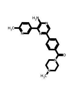 Cc1ccc(-c2nc(-c3ccc(C(=O)N4CCN(C)CC4)cc3)cnc2N)cn1